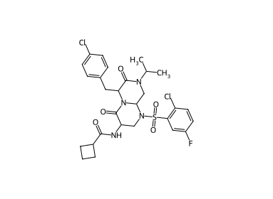 CC(C)N1CC2N(C(=O)C(NC(=O)C3CCC3)CN2S(=O)(=O)c2cc(F)ccc2Cl)C(Cc2ccc(Cl)cc2)C1=O